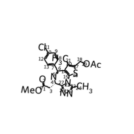 COC(=O)C[C@@H]1N=C(c2ccc(Cl)cc2)c2c(sc(COC(C)=O)c2C)-n2c(C)nnc21